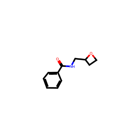 O=C(NCC1CCO1)c1ccccc1